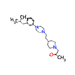 CC(=O)CN1CCC(CCN2CCN(c3cccc(CC(C)C)c3)CC2)CC1